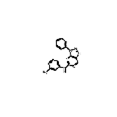 CC(=O)c1cccc(Nc2ncc3nnn(-c4ccccc4)c3n2)c1